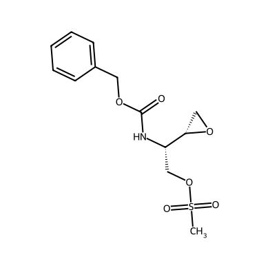 CS(=O)(=O)OC[C@H](NC(=O)OCc1ccccc1)[C@@H]1CO1